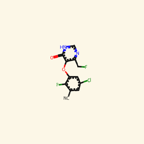 N#Cc1cc(Cl)cc(Oc2c(CF)nc[nH]c2=O)c1F